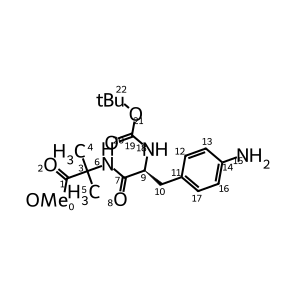 COC(=O)C(C)(C)NC(=O)[C@H](Cc1ccc(N)cc1)NC(=O)OC(C)(C)C